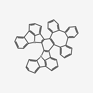 c1ccc2c(c1)c1ccccc1c1c(c3ccccc23)c2c3cccc4c5ccccc5n(c43)c2c2c1c1cccc3c4ccccc4n2c31